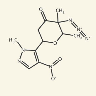 CC1OC(c2c([N+](=O)[O-])cnn2C)CC(=O)C1(C)N=[N+]=[N-]